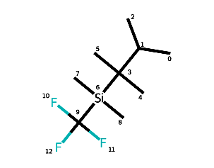 CC(C)C(C)(C)[Si](C)(C)C(F)(F)F